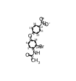 CC(=O)Nc1ccc(Oc2ccc([N+](=O)[O-])cc2)cc1Br